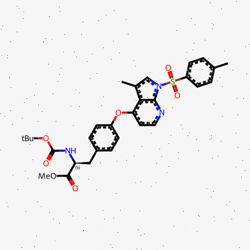 COC(=O)[C@H](Cc1ccc(Oc2ccnc3c2c(C)cn3S(=O)(=O)c2ccc(C)cc2)cc1)NC(=O)OC(C)(C)C